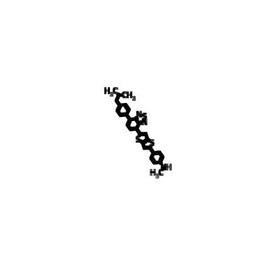 CNc1ccc(-c2cc3sc(-c4ccc(-c5ccc(CC(C)C)cc5)c5nsnc45)cc3s2)cc1